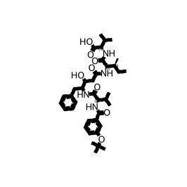 CC[C@H](C)[C@H](NC(=O)CC(O)C(Cc1ccccc1)NC(=O)[C@@H](NC(=O)c1cccc(OC(C)(C)C)c1)C(C)C)C(=O)N[C@H](C(=O)O)C(C)C